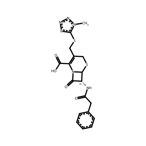 Cn1nnnc1SCC1=C(C(=O)O)N2C(=O)[C@@H](NC(=O)Cc3ccccc3)C2SC1